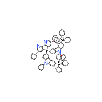 c1ccc(-c2cnc3c(c2)C(c2ccc4c(c2)c2cc([Si](c5ccccc5)(c5ccccc5)c5ccccc5)ccc2n4-c2ccccc2)(c2ccc4c(c2)c2cc([Si](c5ccccc5)(c5ccccc5)c5ccccc5)ccc2n4-c2ccccc2)c2cc(-c4ccccc4)cnc2-3)cc1